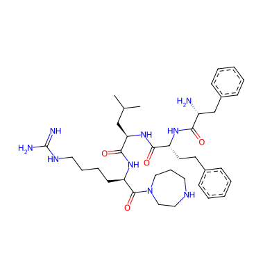 CC(C)C[C@@H](NC(=O)[C@@H](CCc1ccccc1)NC(=O)[C@H](N)Cc1ccccc1)C(=O)N[C@H](CCCCNC(=N)N)C(=O)N1CCCNCC1